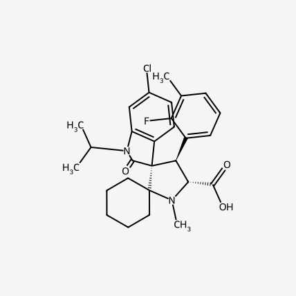 Cc1cccc([C@H]2[C@H](C(=O)O)N(C)C3(CCCCC3)[C@@]23C(=O)N(C(C)C)c2cc(Cl)ccc23)c1F